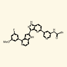 COc1cc(F)cc(-c2nccc3[nH]c(-c4n[nH]c5ccc(-c6cncc(NC(=O)C(C)C)c6)nc45)cc23)c1